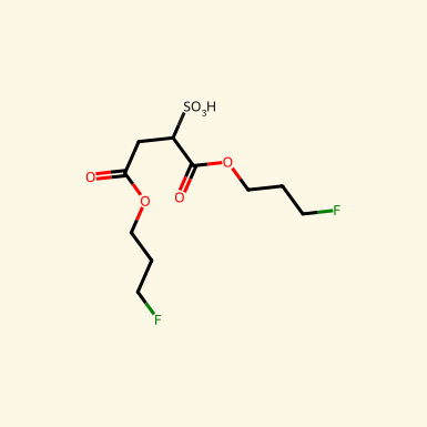 O=C(CC(C(=O)OCCCF)S(=O)(=O)O)OCCCF